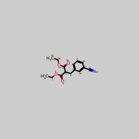 CCOC(=O)C(Cc1cccc(C#N)c1)C(=O)OCC